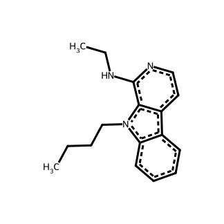 CCCCn1c2ccccc2c2ccnc(NCC)c21